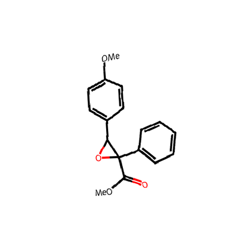 COC(=O)C1(c2ccccc2)OC1c1ccc(OC)cc1